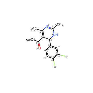 COC(=O)C1=C(C)N=C(C)NC1c1ccc(F)c(F)c1